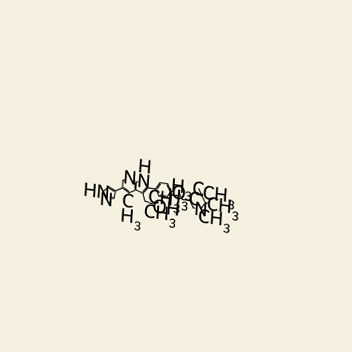 Cc1c(-c2cn[nH]c2)cnc2[nH]c(-c3ccc(OCCCN(C)C(C)C(C)(C)C)cc3)c(CC(C)(C)O)c12